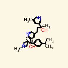 Cc1cncc(C(C)(O)CCc2cncc([C@@](O)(c3ccc(C(C)C)cc3)C3(C)CN(C)C3)c2)c1